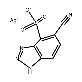 N#Cc1ccc2[nH]nnc2c1S(=O)(=O)[O-].[Ag+]